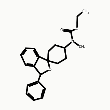 CCOC(=O)N(C)C1CCC2(CC1)OC(c1ccccc1)c1ccccc12